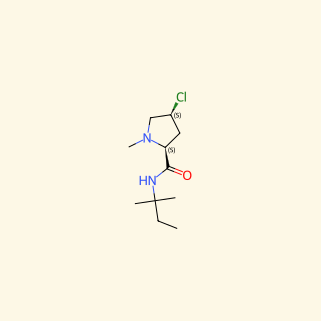 CCC(C)(C)NC(=O)[C@@H]1C[C@H](Cl)CN1C